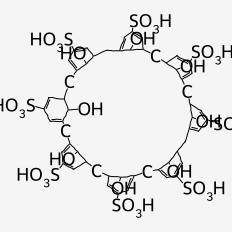 O=S(=O)(O)C1=CC2CC3=CC(S(=O)(=O)O)=CC(CC4=CC(S(=O)(=O)O)=CC(CC5C=C(S(=O)(=O)O)C=C(CC6C=C(S(=O)(=O)O)C=C(CC7C=C(S(=O)(=O)O)C=C(CC8=CC(S(=O)(=O)O)=CC(CC9C=C(S(=O)(=O)O)C=C(CC(=C1)C2O)C9O)C8O)C7O)C6O)C5O)C4O)C3O